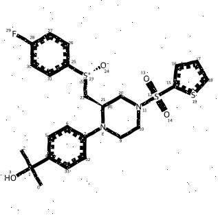 CC(C)(O)c1ccc(N2CCN(S(=O)(=O)c3cccs3)C[C@@H]2C[S@@+]([O-])c2ccc(F)cc2)cc1